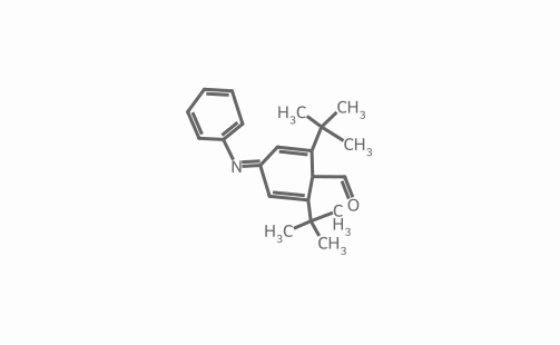 CC(C)(C)C1=CC(=Nc2ccccc2)C=C(C(C)(C)C)C1C=O